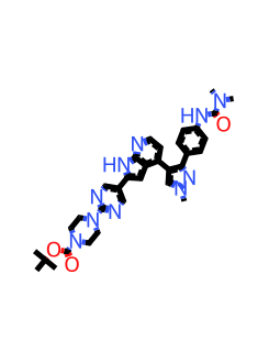 CN(C)C(=O)Nc1ccc(-c2nn(C)cc2-c2ccnc3[nH]c(-c4cnc(N5CCN(C(=O)OC(C)(C)C)CC5)nc4)cc23)cc1